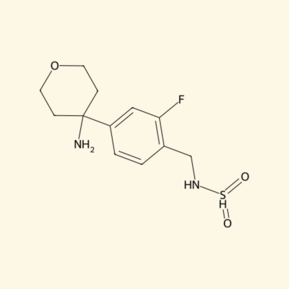 NC1(c2ccc(CN[SH](=O)=O)c(F)c2)CCOCC1